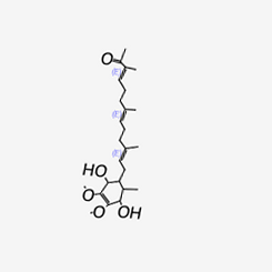 COC1=C(OC)C(O)C(C/C=C(\C)CC/C=C(\C)CC/C=C(\C)C(C)=O)C(C)C1O